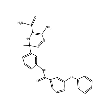 CC1(c2cccc(NC(=O)c3cccc(Oc4ccccc4)c3)c2)C=NC(N)=C(C(N)=O)N1